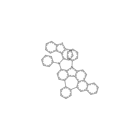 c1ccc(N(c2cccc3sc4ccccc4c23)c2ccc3c4c5c6c(cc7ccccc7c6ccc5n(-c5ccccc5)c24)-c2ccccc2-3)cc1